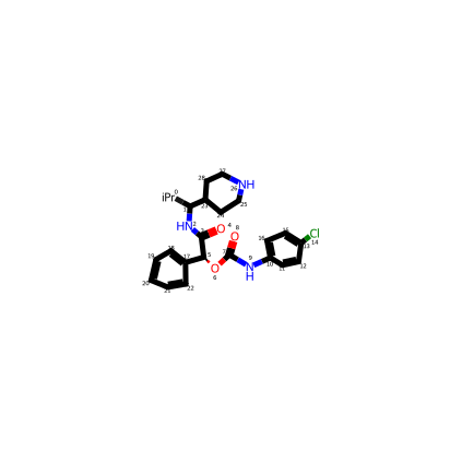 CC(C)C(NC(=O)[C@H](OC(=O)Nc1ccc(Cl)cc1)c1ccccc1)C1CCNCC1